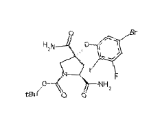 CC(C)(C)OC(=O)N1C[C@@](Oc2cc(Br)cc(F)c2I)(C(N)=O)C[C@H]1C(N)=O